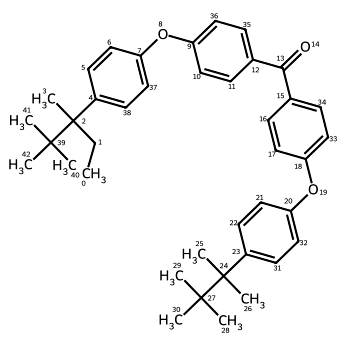 CCC(C)(c1ccc(Oc2ccc(C(=O)c3ccc(Oc4ccc(C(C)(C)C(C)(C)C)cc4)cc3)cc2)cc1)C(C)(C)C